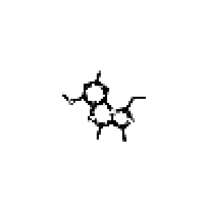 COc1cc(F)cc2c1nc(C)c1c(C)nc(CI)n12